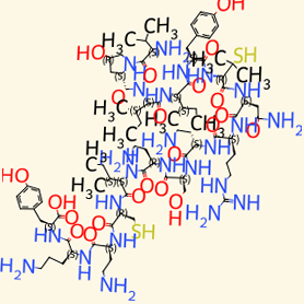 CC[C@H](C)[C@H](NC(=O)[C@@H](NC(=O)[C@@H]1C[C@@H](O)CN1C(=O)[C@@H](N)C(C)C)[C@@H](C)CC)C(=O)N[C@@H](Cc1ccc(O)cc1)C(=O)N[C@H](C(=O)N[C@@H](CC(N)=O)C(=O)N[C@@H](CCCNC(=N)N)C(=O)N[C@@H](CCN)C(=O)N[C@@H](CO)C(=O)N[C@H](CCN)C(=O)N[C@H](C(=O)N[C@@H](CS)C(=O)N[C@@H](CCN)C(=O)N[C@@H](CCCN)C(=O)N[C@@H](Cc1ccc(O)cc1)C(=O)O)[C@@H](C)CC)C(C)(C)S